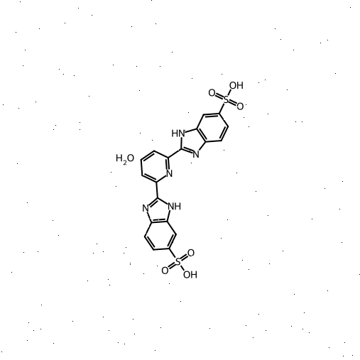 O.O=S(=O)(O)c1ccc2nc(-c3cccc(-c4nc5ccc(S(=O)(=O)O)cc5[nH]4)n3)[nH]c2c1